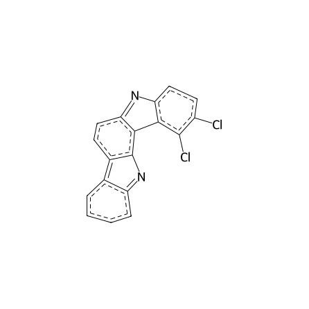 Clc1ccc2c(c1Cl)-c1c3c(ccc1=N2)=c1ccccc1=N3